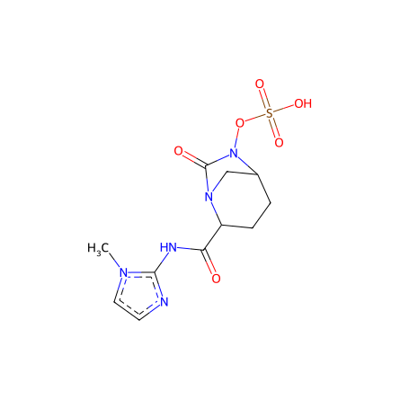 Cn1ccnc1NC(=O)C1CCC2CN1C(=O)N2OS(=O)(=O)O